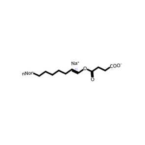 CCCCCCCCCCCCCC/C=C/OC(=O)CCC(=O)[O-].[Na+]